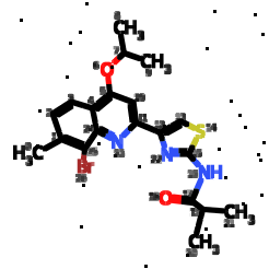 Cc1ccc2c(OC(C)C)cc(-c3csc(NC(=O)C(C)C)n3)nc2c1Br